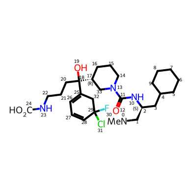 CNC[C@H](CC1CCCCC1)NC(=O)N1CCC[C@@H](C(O)(CCCNC(=O)O)C2=CC=CC(F)(Cl)C2)C1